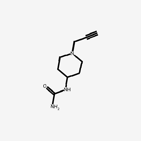 C#CCN1CCC(NC(N)=O)CC1